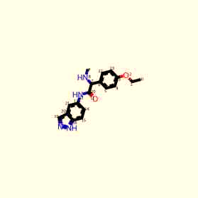 CCOc1ccc(C(NC)C(=O)Nc2ccc3[nH]ncc3c2)cc1